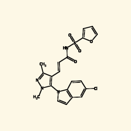 Cc1nn(C)c(-n2ccc3cc(Cl)ccc32)c1C=CC(=O)NS(=O)(=O)c1ccco1